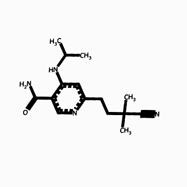 CC(C)Nc1cc(CCC(C)(C)C#N)ncc1C(N)=O